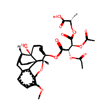 COc1ccc2c3c1O[C@H]1C(OC(=O)[C@@H](OC(C)=O)[C@H](OC(C)=O)C(=O)O[C@@H](C)C(=O)O)=CC[C@@]4(O)[C@H](CCC[C@]314)C2